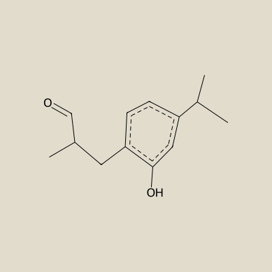 CC(C=O)Cc1ccc(C(C)C)cc1O